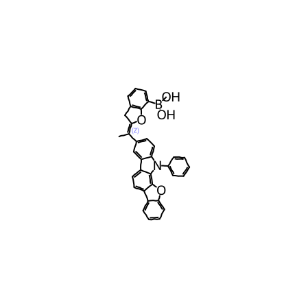 C/C(=C1\Cc2cccc(B(O)O)c2O1)c1ccc2c(c1)c1ccc3c4ccccc4oc3c1n2-c1ccccc1